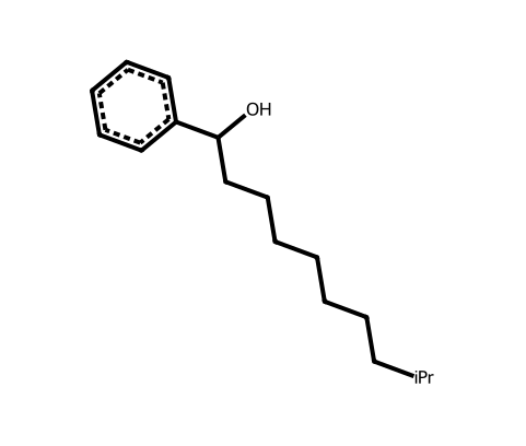 CC(C)CCCCCCCC(O)c1ccccc1